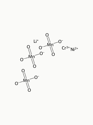 [Cr+3].[Li+].[Ni+2].[O]=[Mn](=[O])([O-])[O-].[O]=[Mn](=[O])([O-])[O-].[O]=[Mn](=[O])([O-])[O-]